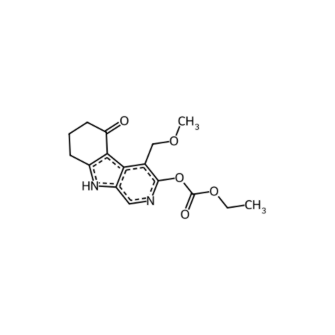 CCOC(=O)Oc1ncc2[nH]c3c(c2c1COC)C(=O)CCC3